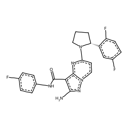 Nc1nn2ccc(N3CCC[C@@H]3c3cc(F)ccc3F)nc2c1C(=O)Nc1ccc(F)cc1